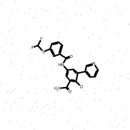 NC(=O)c1cc(NC(=O)c2cccc(SC(F)F)c2)cc(-c2cccnc2)c1Cl